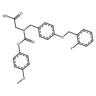 COc1ccc(OC(=O)N(CC(=O)O)Cc2ccc(OCc3ccccc3F)cc2)cc1